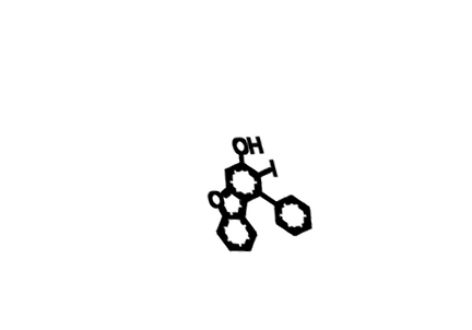 Oc1cc2oc3ccccc3c2c(-c2ccccc2)c1I